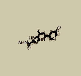 CNC(=O)c1ncc(/C(C)=C\C(=N)c2cncc(Cl)c2)[nH]1